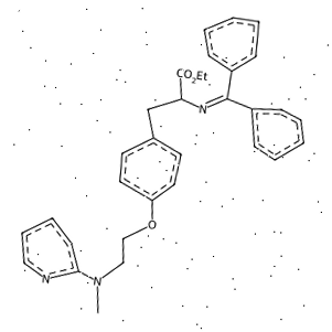 CCOC(=O)C(Cc1ccc(OCCN(C)c2ccccn2)cc1)N=C(c1ccccc1)c1ccccc1